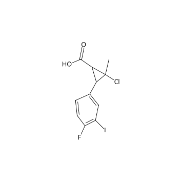 CC1(Cl)C(C(=O)O)C1c1ccc(F)c(I)c1